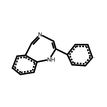 [c]1ccc(C2=CN=Cc3ccccc3N2)cc1